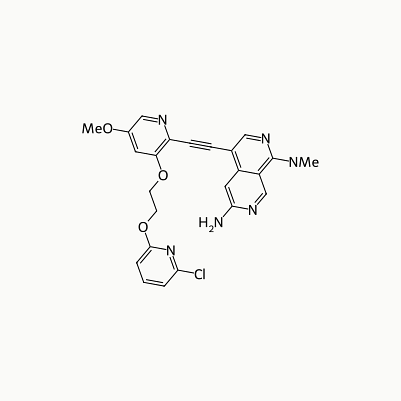 CNc1ncc(C#Cc2ncc(OC)cc2OCCOc2cccc(Cl)n2)c2cc(N)ncc12